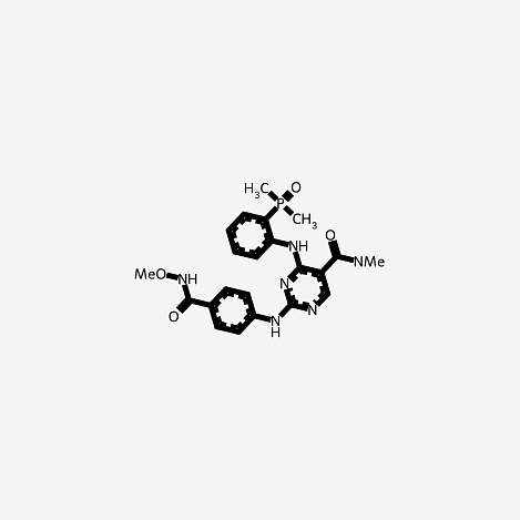 CNC(=O)c1cnc(Nc2ccc(C(=O)NOC)cc2)nc1Nc1ccccc1P(C)(C)=O